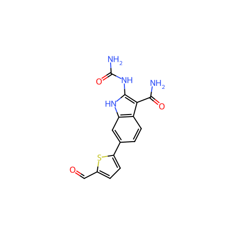 NC(=O)Nc1[nH]c2cc(-c3ccc(C=O)s3)ccc2c1C(N)=O